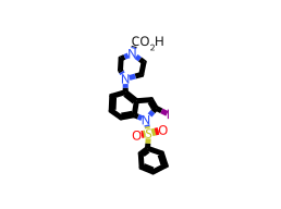 O=C(O)N1CCN(c2cccc3c2cc(I)n3S(=O)(=O)c2ccccc2)CC1